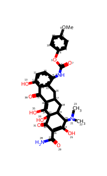 COc1ccc(OC(=O)Nc2ccc(O)c3c2CC2CC4C(N(C)C)C(O)=C(C(N)=O)C(=O)C4(O)C(O)=C2C3=O)cc1